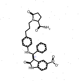 NC(=O)C1CCC(=O)N1CCCc1ccc(N/C(=C2\C(=O)Nc3ccc([N+](=O)[O-])cc32)c2ccccc2)cc1